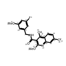 COc1cc(F)cc(CNC(=O)c2c(OC)nc3cc(C(F)(F)F)ccc3c2C)c1